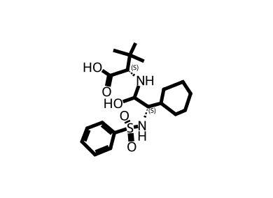 CC(C)(C)[C@H](NC(O)[C@@H](NS(=O)(=O)c1ccccc1)C1CCCCC1)C(=O)O